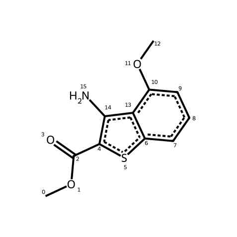 COC(=O)c1sc2cccc(OC)c2c1N